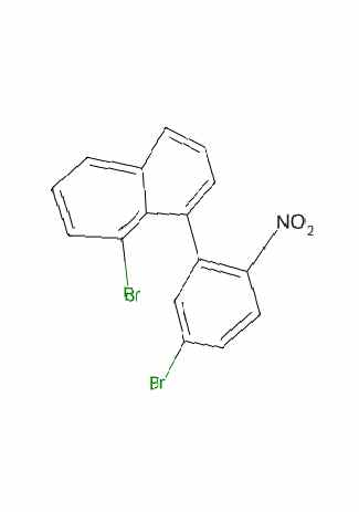 O=[N+]([O-])c1ccc(Br)cc1-c1cccc2cccc(Br)c12